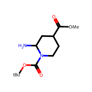 COC(=O)C1CCN(C(=O)OC(C)(C)C)C(N)C1